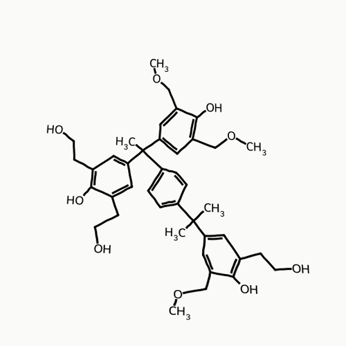 COCc1cc(C(C)(C)c2ccc(C(C)(c3cc(CCO)c(O)c(CCO)c3)c3cc(COC)c(O)c(COC)c3)cc2)cc(CCO)c1O